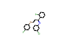 Fc1ccc(SC=CC(=Nc2cccc(Cl)c2)c2ccccc2F)cc1